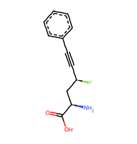 N[C@H](C[C@H](F)C#Cc1ccccc1)C(=O)O